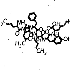 CCCCC(N)C(=O)NC(CC(C)C)C(=O)NC(Cc1ccccc1)C(=O)NC(CCCC)C(=O)NC(Cc1ccc(O)cc1)C(=O)NC(CCCCN)C(=O)O